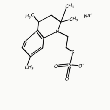 Cc1ccc2c(c1)N(CCSS(=O)(=O)[O-])C(C)(C)CC2C.[Na+]